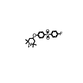 CN1C(C)(C)CC(Oc2ccc(S(=O)(=O)c3ccc(F)cc3)cc2)CC1(C)C